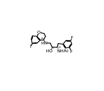 CC(=O)N[C@@H](Cc1cc(F)cc(F)c1)[C@H](O)CN[C@@H]1CCOc2ccc(I)cc21